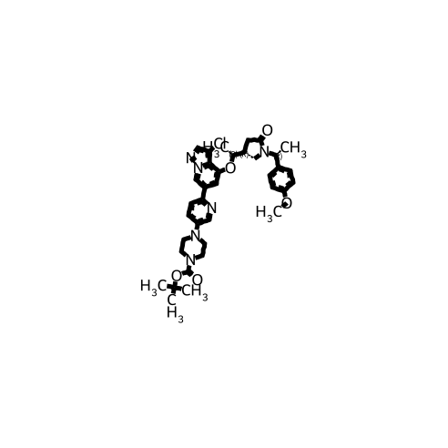 COc1ccc([C@@H](C)N2C[C@H]([C@@H](C)Oc3cc(-c4ccc(N5CCN(C(=O)OC(C)(C)C)CC5)cn4)cn4ncc(Cl)c34)CC2=O)cc1